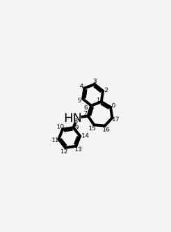 C1=c2ccccc2=C(Nc2ccccc2)CCC1